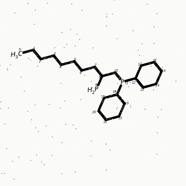 CCCCCCCCC(P)CP(C1CCCCC1)C1CCCCC1